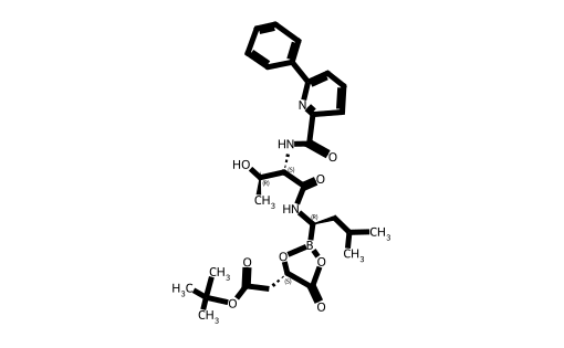 CC(C)C[C@H](NC(=O)[C@@H](NC(=O)c1cccc(-c2ccccc2)n1)[C@@H](C)O)B1OC(=O)[C@H](CC(=O)OC(C)(C)C)O1